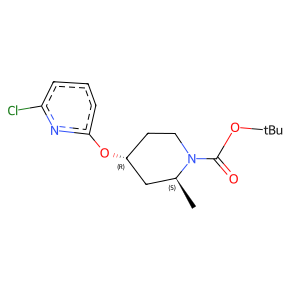 C[C@H]1C[C@H](Oc2cccc(Cl)n2)CCN1C(=O)OC(C)(C)C